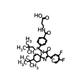 CC(C)(C)CC[C@H](c1ccc(C(=O)NCCC(=O)O)cc1)N1C(=O)C(c2ccc(F)c(F)c2)=NC12CCC(C(C)(C)C)CC2